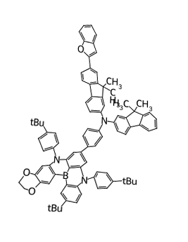 CC(C)(C)c1ccc(N2c3ccc(C(C)(C)C)cc3B3c4cc5c(cc4N(c4ccc(C(C)(C)C)cc4)c4cc(-c6ccc(N(c7ccc8c(c7)C(C)(C)c7ccccc7-8)c7ccc8c(c7)C(C)(C)c7cc(-c9cc%10ccccc%10o9)ccc7-8)cc6)cc2c43)OCCO5)cc1